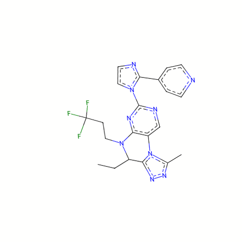 CCC1c2nnc(C)n2-c2cnc(-n3ccnc3-c3ccncc3)nc2N1CCC(F)(F)F